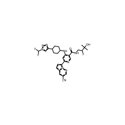 CC(C)(O)C(F)CNC(=O)c1cnc(-c2ccc3cc(C#N)cnn23)cc1NC1CCC(c2cn(C(F)F)nn2)CC1